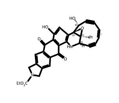 CCOC(=O)N1Cc2cc3c(cc2C1)C(=O)c1c2c(cc(O)c1C3=O)[C@@]13O[C@@]1(C(C)C)[C@H](C#C/C=C\C#C[C@H]3O)N2